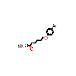 COC(=O)CCCCCOc1ccc(C(C)=O)cc1